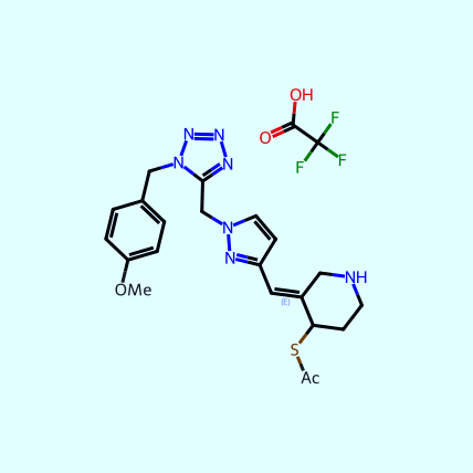 COc1ccc(Cn2nnnc2Cn2ccc(/C=C3\CNCCC3SC(C)=O)n2)cc1.O=C(O)C(F)(F)F